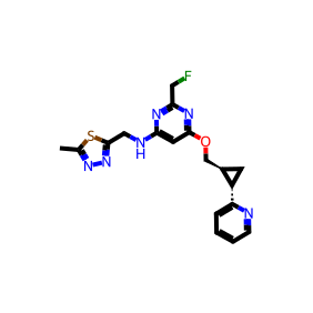 Cc1nnc(CNc2cc(OC[C@H]3C[C@@H]3c3ccccn3)nc(CF)n2)s1